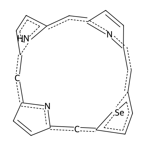 C1=Cc2cc3ccc(cc4nc(cc5ccc(cc1n2)[nH]5)C=C4)[se]3